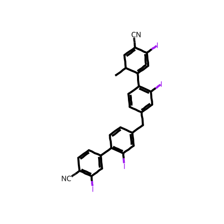 CC1C=C(C#N)C(I)=C=C1c1ccc(Cc2ccc(-c3ccc(C#N)c(I)c3)c(I)c2)cc1I